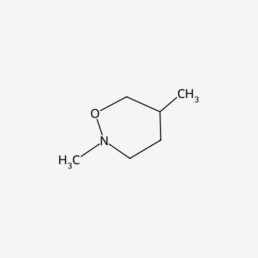 CC1CCN(C)OC1